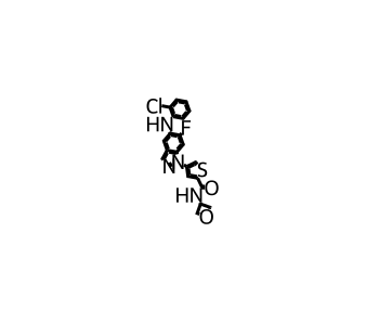 O=C(NC1COC1)c1cc(-n2ncc3cc(Nc4ccccc4Cl)c(F)cc32)cs1